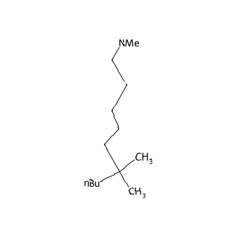 CCCCC(C)(C)CCCCCNC